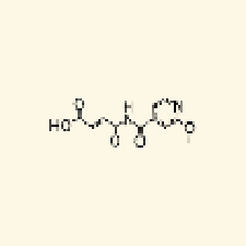 COc1cc(C(=O)NC(=O)C=CC(=O)O)ccn1